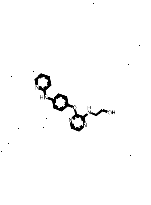 OCCNc1nccnc1Oc1ccc(Nc2ccccn2)cc1